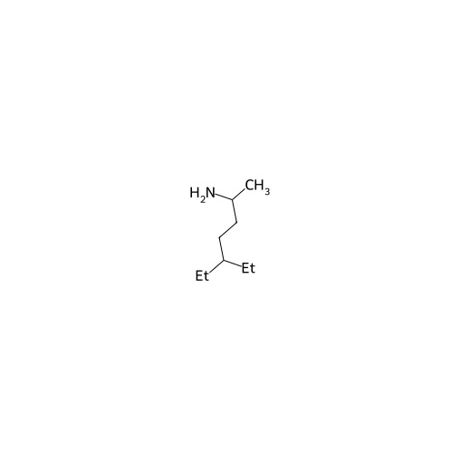 CCC(CC)CCC(C)N